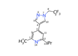 Cc1cc(-c2cnn(CC(F)(F)F)c2)cc(C(C)C)n1